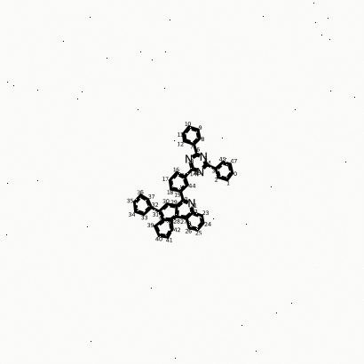 c1ccc(-c2nc(-c3ccccc3)nc(-c3cccc(-c4nc5ccccc5c5c4cc(-c4ccccc4)c4ccccc45)c3)n2)cc1